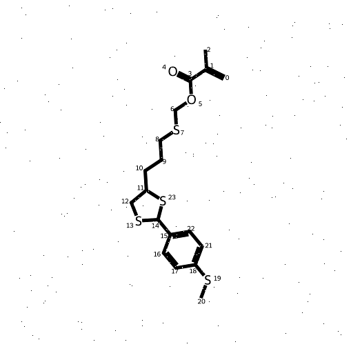 C=C(C)C(=O)OCSCCCC1CSC(c2ccc(SC)cc2)S1